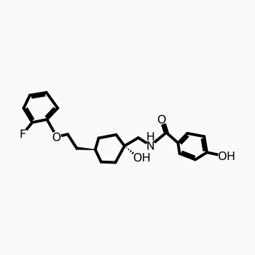 O=C(NC[C@]1(O)CC[C@H](CCOc2ccccc2F)CC1)c1ccc(O)cc1